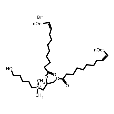 CCCCCCCC/C=C\CCCCCCCC(=O)OCC(C[N+](C)(C)CCCCCO)OC(=O)CCCCCCC/C=C\CCCCCCCC.[Br-]